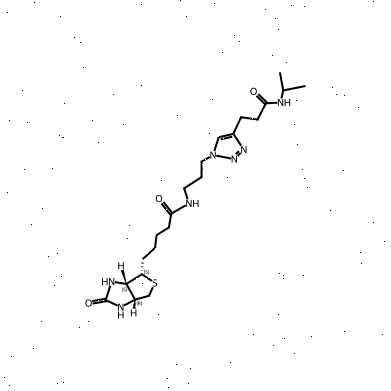 CC(C)NC(=O)CCc1cn(CCCNC(=O)CCCC[C@@H]2SC[C@@H]3NC(=O)N[C@@H]32)nn1